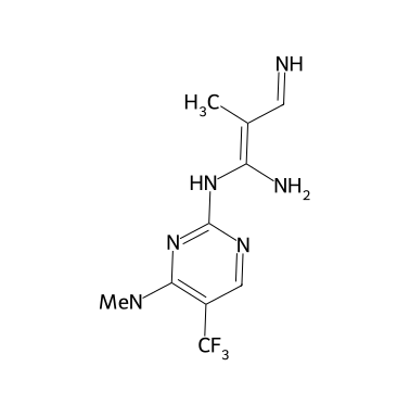 CNc1nc(N/C(N)=C(\C)C=N)ncc1C(F)(F)F